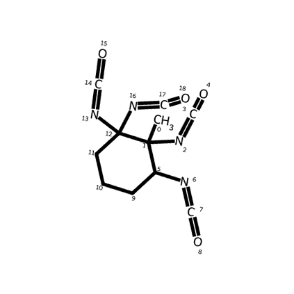 CC1(N=C=O)C(N=C=O)CCCC1(N=C=O)N=C=O